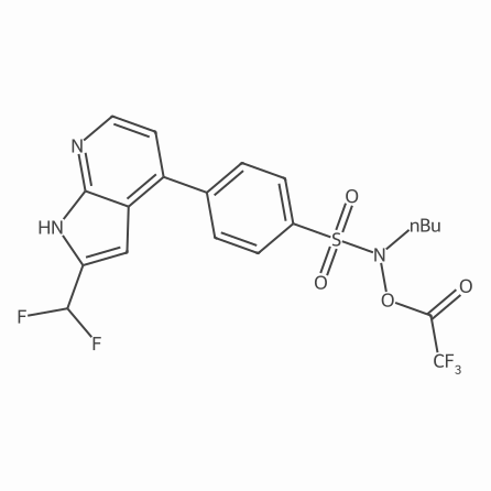 CCCCN(OC(=O)C(F)(F)F)S(=O)(=O)c1ccc(-c2ccnc3[nH]c(C(F)F)cc23)cc1